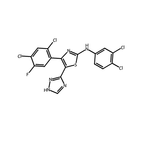 Fc1cc(-c2nc(Nc3ccc(Cl)c(Cl)c3)sc2-c2nc[nH]n2)c(Cl)cc1Cl